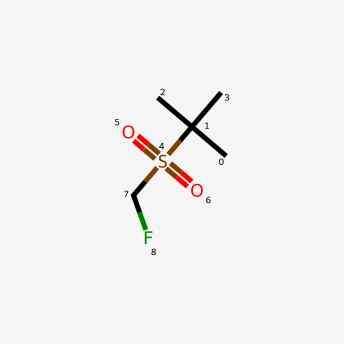 CC(C)(C)S(=O)(=O)CF